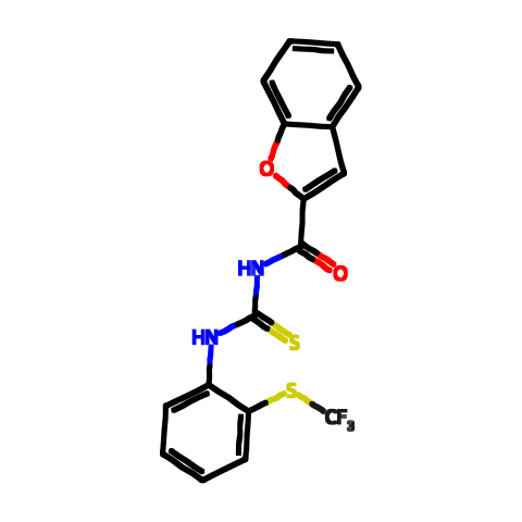 O=C(NC(=S)Nc1ccccc1SC(F)(F)F)c1cc2ccccc2o1